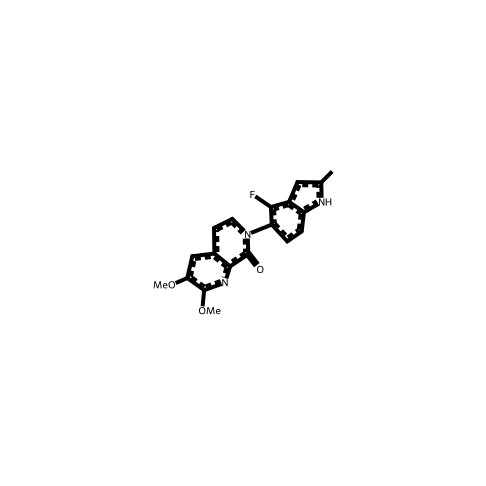 COc1cc2ccn(-c3ccc4[nH]c(C)cc4c3F)c(=O)c2nc1OC